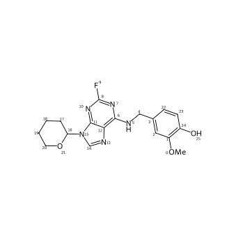 COc1cc(CNc2nc(F)nc3c2ncn3C2CCCCO2)ccc1O